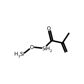 C=C(C)C(=O)[SiH2]O[SiH3]